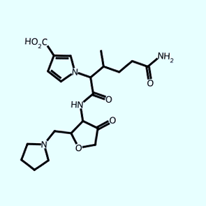 CC(CCC(N)=O)C(C(=O)NC1C(=O)COC1CN1CCCC1)n1ccc(C(=O)O)c1